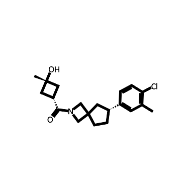 Cc1cc([C@@H]2CCC3(C2)CN(C(=O)[C@H]2C[C@@](C)(O)C2)C3)ccc1Cl